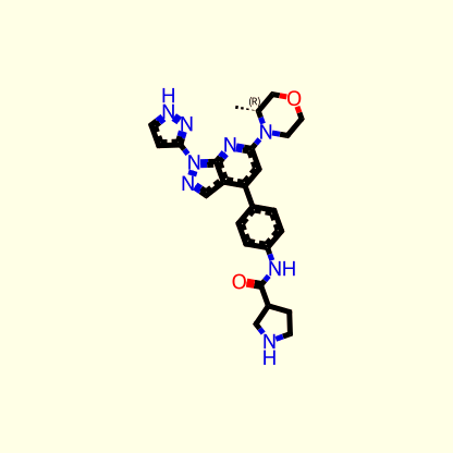 C[C@@H]1COCCN1c1cc(-c2ccc(NC(=O)C3CCNC3)cc2)c2cnn(-c3cc[nH]n3)c2n1